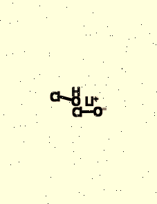 OCl.[Li+].[O-]Cl